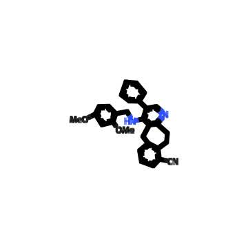 COc1ccc(CNc2c(-c3ccccc3)cnc3c2Cc2cccc(C#N)c2CC3)c(OC)c1